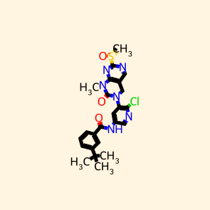 CN1C(=O)N(c2cc(NC(=O)c3cccc(C(C)(C)C)c3)cnc2Cl)Cc2cnc([S+](C)[O-])nc21